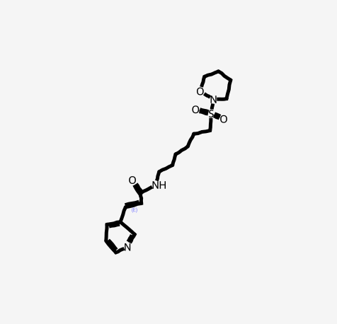 O=C(/C=C/c1cccnc1)NCCCCCCS(=O)(=O)N1CCCCO1